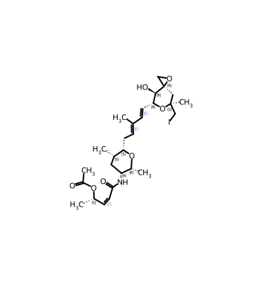 CC(=O)O[C@@H](C)/C=C\C(=O)N[C@@H]1C[C@H](C)[C@H](C/C=C(C)/C=C/[C@H]2O[C@](C)(CI)C[C@@]3(CO3)[C@@H]2O)O[C@@H]1C